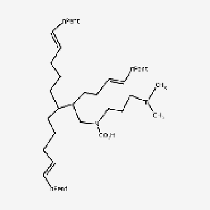 CCCCCC=CCCCC(CCCC=CCCCCC)C(CCC=CCCCCC)CN(CCCN(C)C)C(=O)O